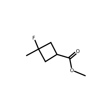 COC(=O)C1CC(C)(F)C1